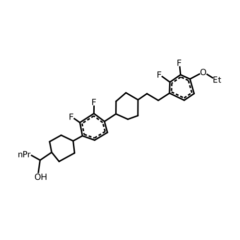 CCCC(O)C1CCC(c2ccc(C3CCC(CCc4ccc(OCC)c(F)c4F)CC3)c(F)c2F)CC1